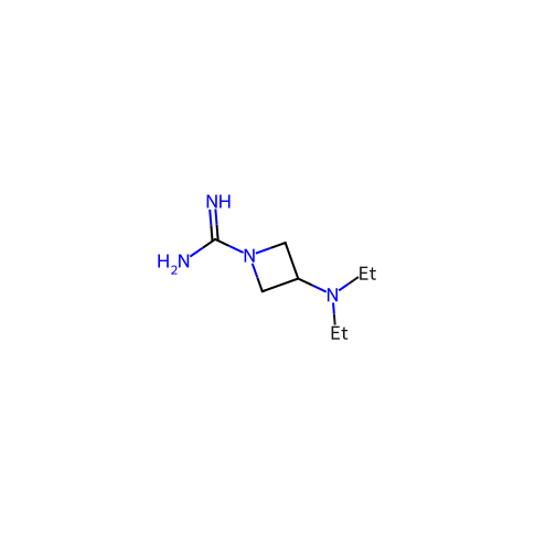 CCN(CC)C1CN(C(=N)N)C1